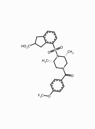 C[C@@H]1CN(C(=O)c2ccc(OC(F)(F)F)cc2)C[C@H](C)N1S(=O)(=O)c1cccc2c1CC(C(=O)O)C2